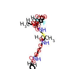 CCCC1O[C@@H]2C[C@H]3[C@@H]4C[C@H](F)C5=CC(=O)C=C[C@]5(C)[C@@]4(F)[C@@H](O)C[C@]3(C)[C@]2(C(=O)COC(=O)NCCSSC(C)(C)CC(=O)NCCOCCOCCOCCNC(=O)OC[C@@H]2[C@@H]3CCCCCC[C@@H]32)O1